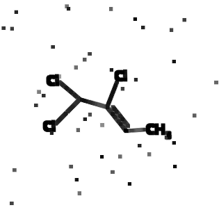 CC=C(Cl)C(Cl)Cl